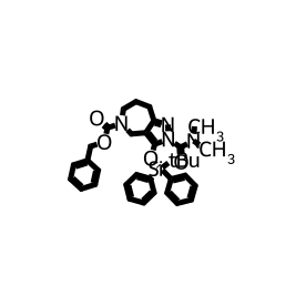 CN(C)C(=O)n1nc2c(c1O[Si](c1ccccc1)(c1ccccc1)C(C)(C)C)CN(C(=O)OCc1ccccc1)CCC2